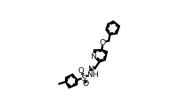 Cc1ccc(S(=O)(=O)N/N=C/c2ccc(OCc3ccccc3)cn2)cc1